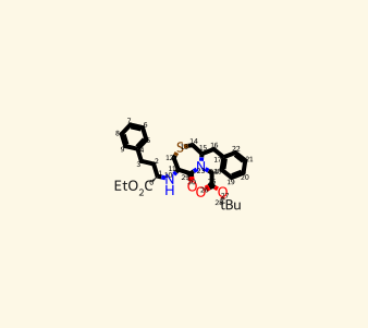 CCOC(=O)[C@H](CCc1ccccc1)NC1CSCC(Cc2ccccc2)N(CC(=O)OC(C)(C)C)C1=O